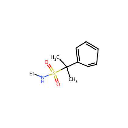 CCNS(=O)(=O)C(C)(C)c1ccccc1